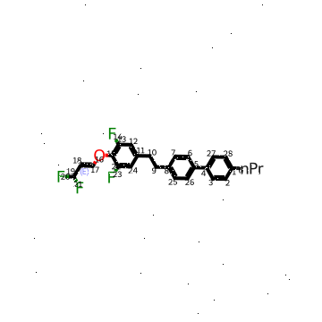 CCCc1ccc(-c2ccc(CCc3cc(F)c(O/C=C/C(F)F)c(F)c3)cc2)cc1